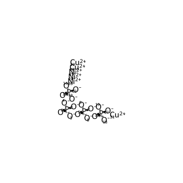 O=P([O-])([O-])[O-].O=P([O-])([O-])[O-].O=P([O-])([O-])[O-].O=P([O-])([O-])[O-].[Cu+2].[Cu+2].[Cu+2].[Ni+2].[Ni+2].[Ni+2]